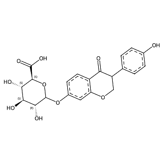 O=C1c2ccc(OC3O[C@H](C(=O)O)[C@@H](O)[C@H](O)[C@H]3O)cc2OCC1c1ccc(O)cc1